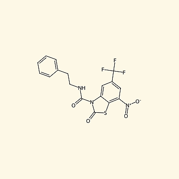 O=C(NCCc1ccccc1)n1c(=O)sc2c([N+](=O)[O-])cc(C(F)(F)F)cc21